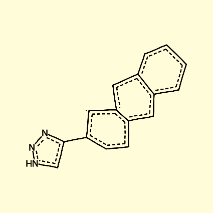 [c]1c(-c2c[nH]nn2)ccc2cc3ccccc3cc12